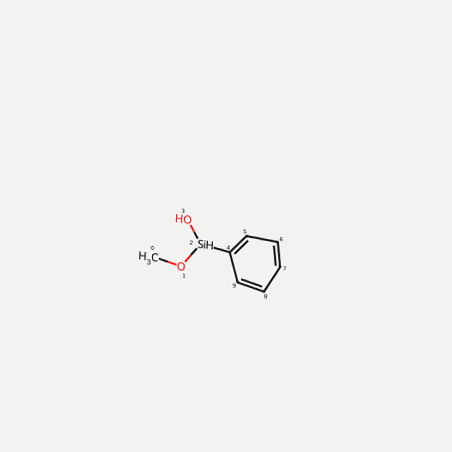 CO[SiH](O)c1ccccc1